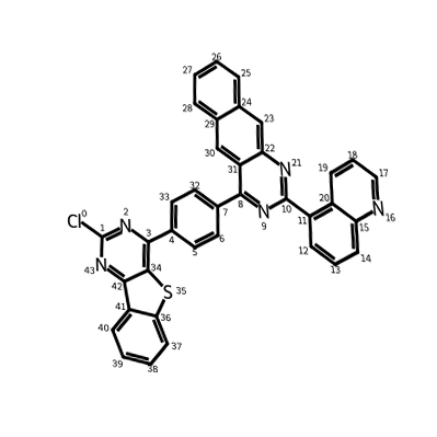 Clc1nc(-c2ccc(-c3nc(-c4cccc5ncccc45)nc4cc5ccccc5cc34)cc2)c2sc3ccccc3c2n1